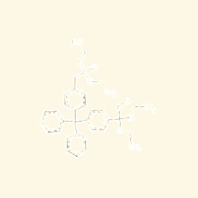 CCOC(OCC)(P=O)c1ccc(C2(c3ccc(CP(=O)(OCC)OCC)cc3)c3ccccc3-c3ccccc32)cc1